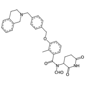 Cc1c(OCc2ccc(CN3CCc4ccccc4C3)cc2)cccc1C(=O)N(C=O)C1CCC(=O)NC1=O